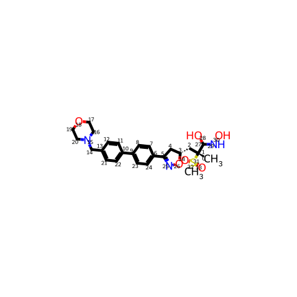 C[C@@](C[C@H]1CC(c2ccc(-c3ccc(CN4CCOCC4)cc3)cc2)=NO1)(C(O)NO)S(C)(=O)=O